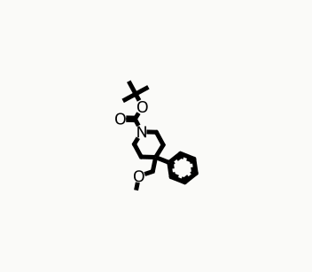 COCC1(c2ccccc2)CCN(C(=O)OC(C)(C)C)CC1